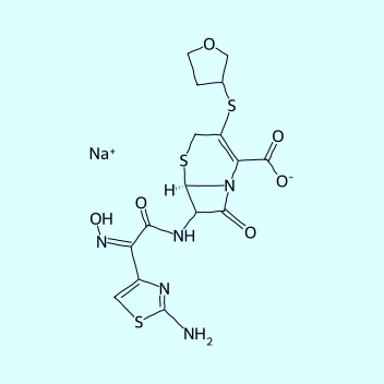 Nc1nc(/C(=N/O)C(=O)NC2C(=O)N3C(C(=O)[O-])=C(SC4CCOC4)CS[C@H]23)cs1.[Na+]